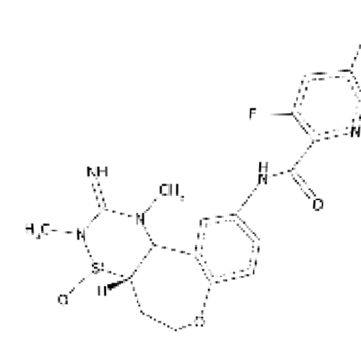 CN1C(=N)N(C)[S+]([O-])[C@H]2CCOc3ccc(NC(=O)c4ncc(Cl)cc4F)cc3C21